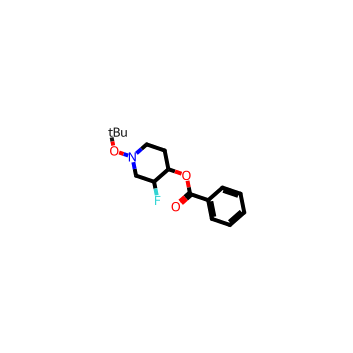 CC(C)(C)ON1CCC(OC(=O)c2ccccc2)C(F)C1